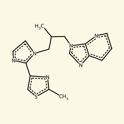 Cc1nc(-c2nccn2CC(C)Cn2cnc3cccnc32)cs1